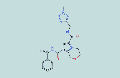 CC[C@@H](NC(=O)c1cc(C(=O)NCc2nnn(C)n2)n2c1COCC2)c1ccccc1